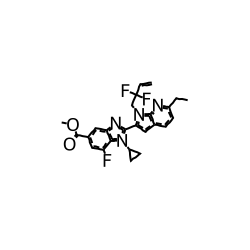 C=CC(F)(F)Cn1c(-c2nc3cc(C(=O)OC)cc(F)c3n2C2CC2)cc2ccc(CC)nc21